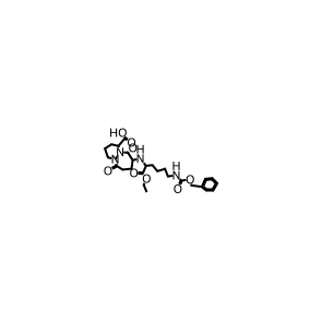 CCOC(=O)C(CCCCNC(=O)OCc1ccccc1)NC1CCC(=O)N2CCCC(C(=O)O)N2C1=O